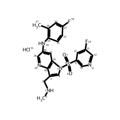 CNCc1cn(S(=O)(=O)c2cncc(F)c2)c2cc(Nc3ccc(F)cc3C)cnc12.Cl